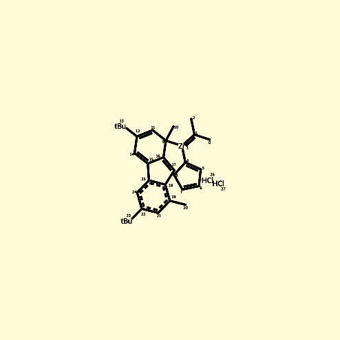 C[C](C)=[Zr]([C]1=CC=CC1)[C]1(C)C=C(C(C)(C)C)C=C2C1=Cc1c(C)cc(C(C)(C)C)cc12.Cl.Cl